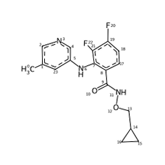 Cc1cncc(Nc2c(C(=O)NOCC3CC3)ccc(F)c2F)c1